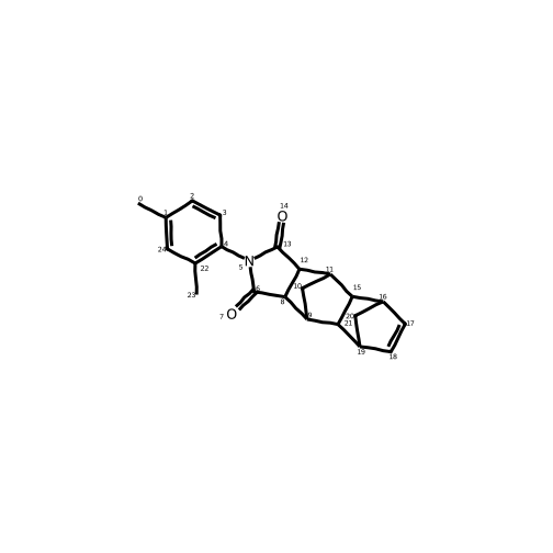 Cc1ccc(N2C(=O)C3C4CC(C3C2=O)C2C3C=CC(C3)C42)c(C)c1